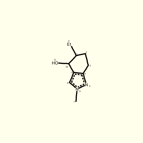 CCC1CCc2nn(C)cc2C1O